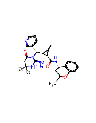 CCC1(CC)CC(=O)N([C@H](c2cccnc2)C2C(C)[C@H]2C(=O)N[C@H]2CC(C(F)(F)F)Oc3ccccc32)C(=N)N1